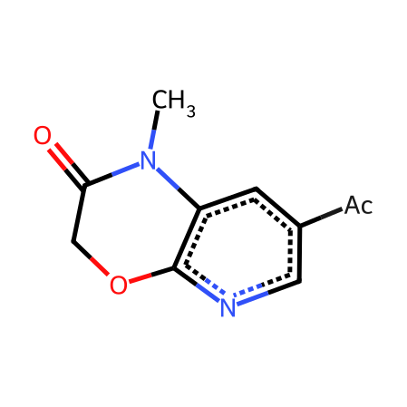 CC(=O)c1cnc2c(c1)N(C)C(=O)CO2